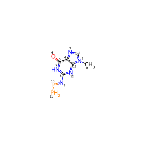 Cn1cnc2c(=O)[nH]c(N=PP)nc21